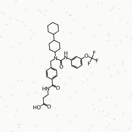 O=C(O)CCNC(=O)c1ccc(CN(C(=O)Nc2cccc(OC(F)(F)F)c2)C2CCC(C3CCCCC3)CC2)cc1